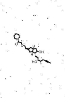 CC#CC[C@@H](C)[C@H](O)/C=C/[C@@H]1[C@H]2C/C(=C/COCC(=O)N3CCCCC3)C[C@H]2C[C@H]1O